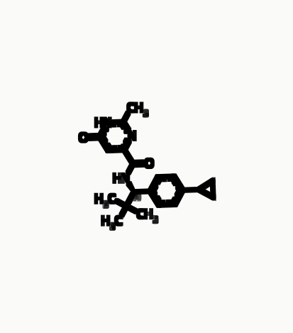 Cc1nc(C(=O)N[C@@H](c2ccc(C3CC3)cc2)C(C)(C)C)cc(=O)[nH]1